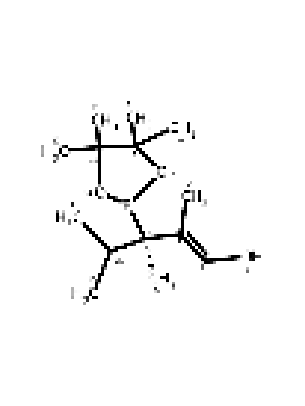 C/C(=C\O)[C@](C)(B1OC(C)(C)C(C)(C)O1)C(C)C